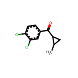 C[C]1CC1C(=O)c1ccc(Cl)c(Cl)c1